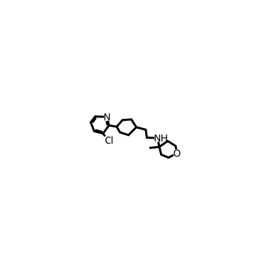 CC1(NCCC2CCC(c3ncccc3Cl)CC2)CCOCC1